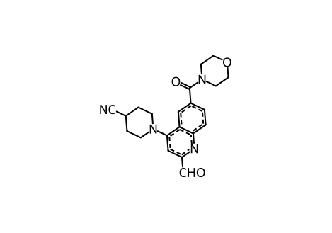 N#CC1CCN(c2cc(C=O)nc3ccc(C(=O)N4CCOCC4)cc23)CC1